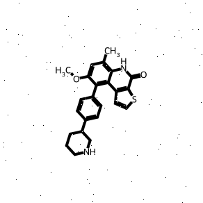 COc1cc(C)c2[nH]c(=O)c3sccc3c2c1-c1ccc(C2CCCNC2)cc1